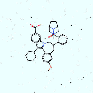 COc1ccc2c(c1)C=C(c1ccccc1C(=O)N1C3CCC1CN(C)C3)Cn1c-2c(C2CCCCC2)c2ccc(C(=O)O)cc21